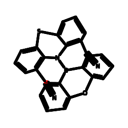 N#Cc1cccc2c1N(B1c3ccccc3Oc3ccccc31)c1c(C#N)cccc1S2